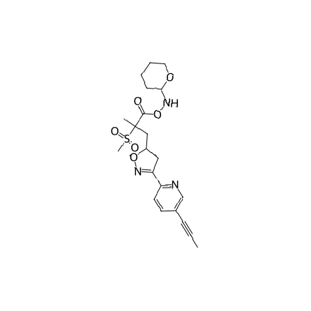 CC#Cc1ccc(C2=NOC(CC(C)(C(=O)ONC3CCCCO3)S(C)(=O)=O)C2)nc1